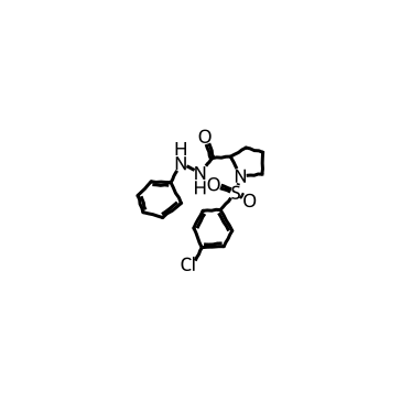 O=C(NNc1ccccc1)C1CCCN1S(=O)(=O)c1ccc(Cl)cc1